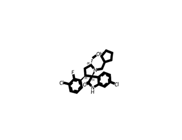 O=C1Nc2cc(Cl)ccc2[C@@]12[C@@H](c1cccc(Cl)c1F)C[C@H](CO)N2CC1CCCC1